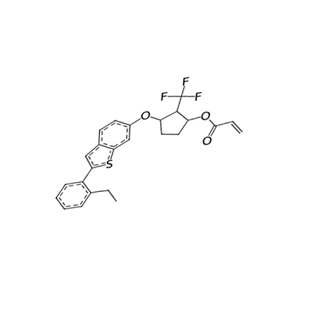 C=CC(=O)OC1CCC(Oc2ccc3cc(-c4ccccc4CC)sc3c2)C1C(F)(F)F